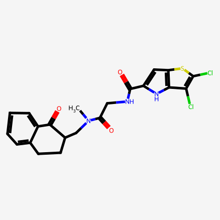 CN(CC1CCc2ccccc2C1=O)C(=O)CNC(=O)c1cc2sc(Cl)c(Cl)c2[nH]1